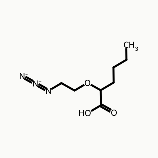 CCCCC(OCCN=[N+]=[N-])C(=O)O